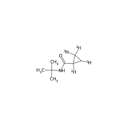 [2H]C1C([2H])([2H])C1([2H])C(=O)NC(C)(C)C